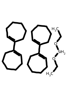 C1=C(C2=CCCCCC2)CCCCC1.C1=C(C2=CCCCCC2)CCCCC1.CCO[SiH2]OCC